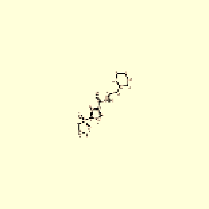 CCS(=O)(=O)c1ncc(C(=O)NCCC2CCCCC2)s1